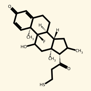 CC1C[C@H]2[C@@H]3CCC4=CC(=O)C=C[C@]4(C)[C@@]3(F)C(O)C[C@]2(C)[C@H]1C(=O)CCS